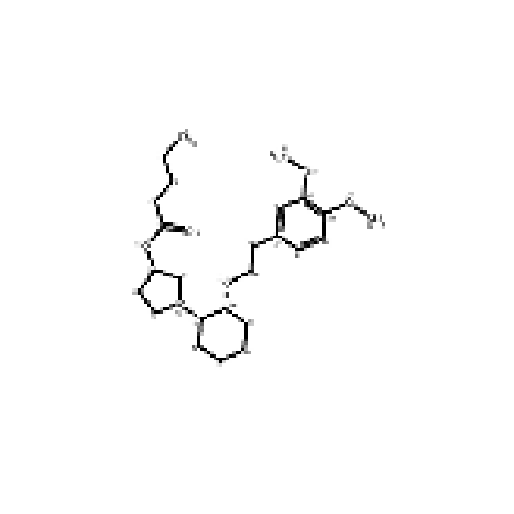 CCCCC(=O)O[C@@H]1CCN([C@@H]2CCCC[C@H]2OCCc2ccc(OC)c(OC)c2)C1